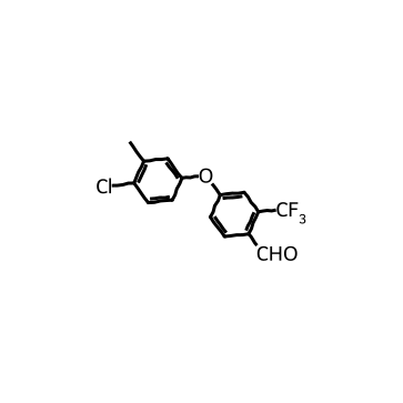 Cc1cc(Oc2ccc(C=O)c(C(F)(F)F)c2)ccc1Cl